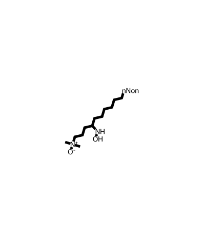 CCCCCCCCCCCCCCCC(CCC[N+](C)(C)[O-])NO